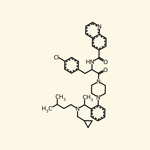 CC(C)CCN(CC1CC1)C(C)c1ccccc1N1CCN(C(=O)C(Cc2ccc(Cl)cc2)NC(=O)c2ccc3ncccc3c2)CC1